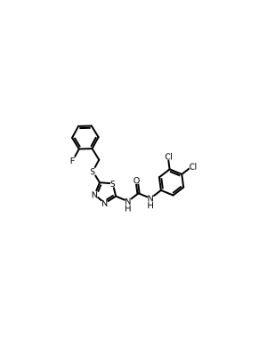 O=C(Nc1ccc(Cl)c(Cl)c1)Nc1nnc(SCc2ccccc2F)s1